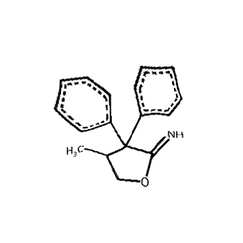 CC1COC(=N)C1(c1ccccc1)c1ccccc1